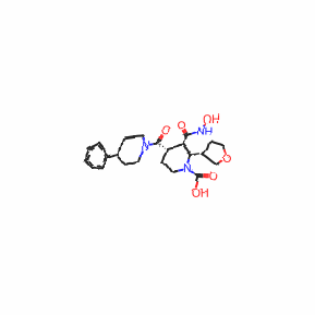 O=C(NO)[C@H]1C([C@H]2CCOC2)N(C(=O)O)CC[C@@H]1C(=O)N1CCC(c2ccccc2)CC1